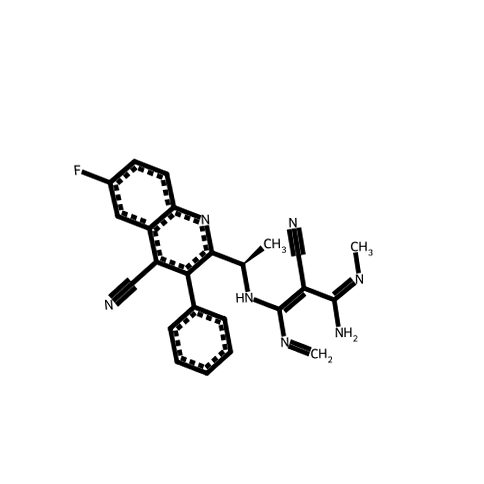 C=N/C(N[C@H](C)c1nc2ccc(F)cc2c(C#N)c1-c1ccccc1)=C(C#N)\C(N)=N/C